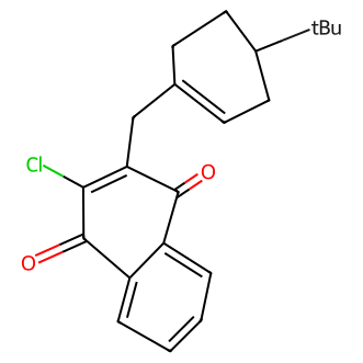 CC(C)(C)C1CC=C(CC2=C(Cl)C(=O)c3ccccc3C2=O)CC1